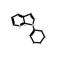 C1=C(n2ccc3cccnc32)CCCC1